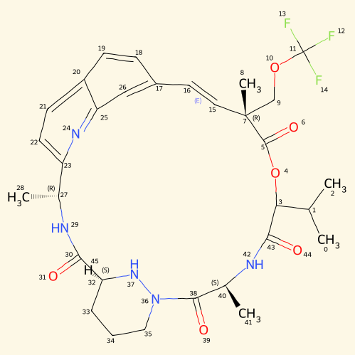 CC(C)C1OC(=O)[C@@](C)(COC(F)(F)F)/C=C/c2ccc3ccc(nc3c2)[C@@H](C)NC(=O)[C@@H]2CCCN(N2)C(=O)[C@H](C)NC1=O